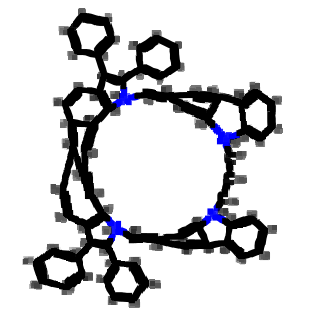 c1ccc(-c2c(-c3ccccc3)n3c4c2ccc2c5ccc6c(-c7ccccc7)c(-c7ccccc7)n(c6c5ccc24)-c2ccc4c(c2)c2ccccc2n4CCCn2c4ccccc4c4cc-3ccc42)cc1